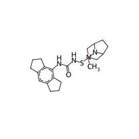 CCN1C2CCC1CN(SNC(=O)Nc1c3c(cc4c1CCC4)CCC3)C2